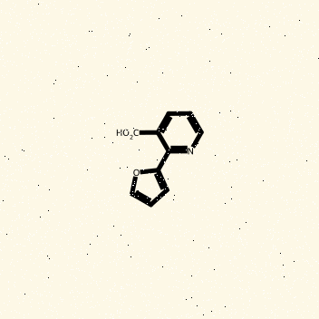 O=C(O)c1cccnc1-c1ccco1